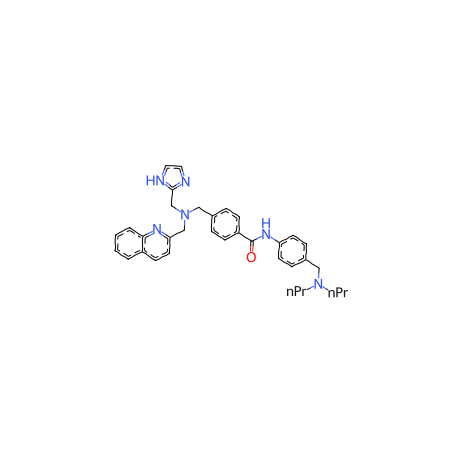 CCCN(CCC)Cc1ccc(NC(=O)c2ccc(CN(Cc3ccc4ccccc4n3)Cc3ncc[nH]3)cc2)cc1